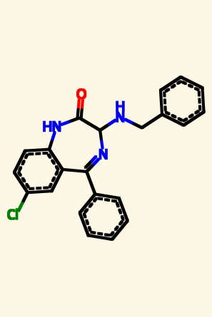 O=C1Nc2ccc(Cl)cc2C(c2ccccc2)=NC1NCc1ccccc1